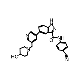 N#Cc1ccc(NC(=O)c2n[nH]c3ccc(-c4cncc(CN5CCC(O)CC5)c4)cc23)cc1